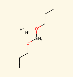 CCCO[SiH2]OCCC.[H+].[H+]